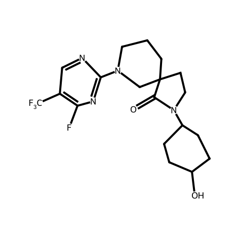 O=C1N(C2CCC(O)CC2)CCC12CCCN(c1ncc(C(F)(F)F)c(F)n1)C2